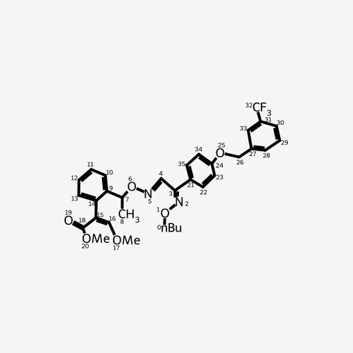 CCCCON=C(C=NOC(C)c1ccccc1C(=COC)C(=O)OC)c1ccc(OCc2cccc(C(F)(F)F)c2)cc1